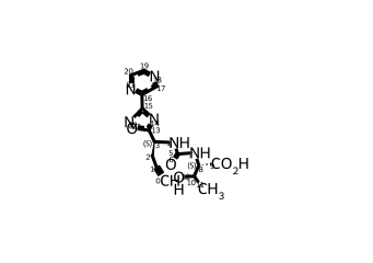 C#CC[C@H](NC(=O)N[C@H](C(=O)O)C(C)O)c1nc(-c2cnccn2)no1